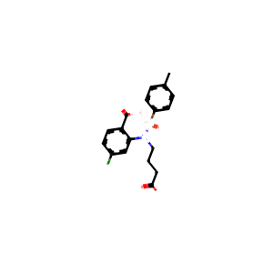 Cc1ccc(S(=O)(=O)N(CCCC(=O)O)c2cc(Cl)ccc2C(=O)O)cc1